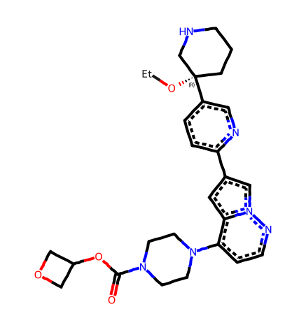 CCO[C@@]1(c2ccc(-c3cc4c(N5CCN(C(=O)OC6COC6)CC5)ccnn4c3)nc2)CCCNC1